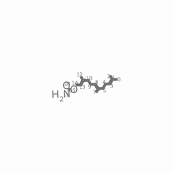 CC(C)=CCCC(C)=CCCC(C)=CCOC(N)=O